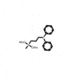 CO[Si](C)(CCCP(c1ccccc1)c1ccccc1)OC